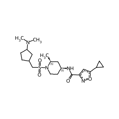 C[C@H]1C[C@@H](NC(=O)c2cc(C3CC3)on2)CCN1S(=O)(=O)CC1CCC(N(C)C)C1